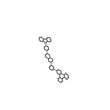 c1cc(-c2ccc3cc(-c4ccc(-n5c6ccccc6c6ccccc65)cc4)ccc3c2)cc(-c2ccc3c(c2)c2ccccc2c2nccnc32)c1